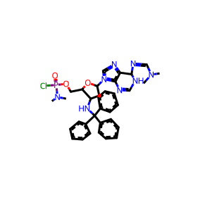 CN(C)/C=N\C1NC=Nc2c1ncn2C1CC(NC(c2ccccc2)(c2ccccc2)c2ccccc2)C(COP(=O)(Cl)N(C)C)O1